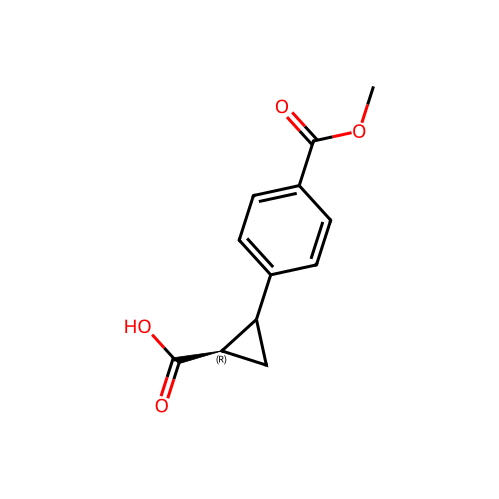 COC(=O)c1ccc(C2C[C@H]2C(=O)O)cc1